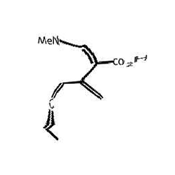 C=C(C=C=CC)/C(=C\NC)C(=O)O